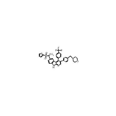 CN(c1ccc2[nH]c3ncc(-c4ccc(CN5CCOCC5)cc4)c(-c4ccc(C(F)(F)F)cc4)c3c2c1)S(=O)(=O)c1cccs1